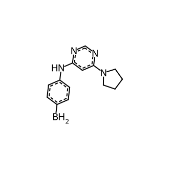 Bc1ccc(Nc2cc(N3CCCC3)ncn2)cc1